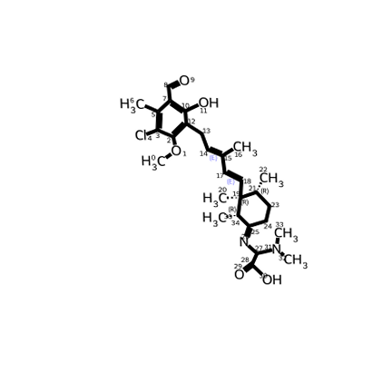 COc1c(Cl)c(C)c(C=O)c(O)c1C/C=C(C)/C=C/[C@@]1(C)[C@H](C)CCC(=NC(C(=O)O)N(C)C)[C@@H]1C